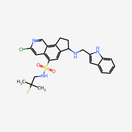 CC(C)(F)CNS(=O)(=O)c1cc2c(c3cnc(Cl)cc13)CCC2NCc1cc2ccccc2[nH]1